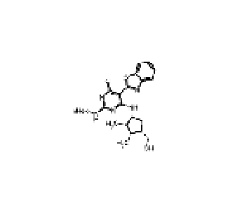 CCCCCCNc1nc(Cl)c(-c2nc3ccccc3s2)c(N[C@@H]2C[C@H](CO)[C@@H](C)[C@H]2C)n1